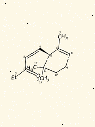 CCC(=O)/C=C\[C@H]1C(C)=CCCC1(C)C